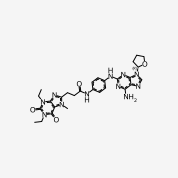 CCn1c(=O)c2c(nc(CCC(=O)Nc3ccc(Nc4nc(N)c5ncn([C@H]6CCCO6)c5n4)cc3)n2C)n(CC)c1=O